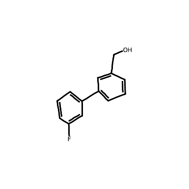 OCc1cccc(-c2cccc(F)c2)c1